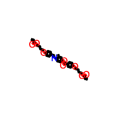 C=CC(=O)OCCCCOc1ccc(/C=N/c2ccc(OC(=O)c3ccc(OCCCCOC(=O)C=C)cc3)cc2C)cc1